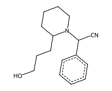 N#CC(c1ccccc1)N1CCCCC1CCCO